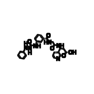 O=C(O)CC(NC(=O)CNC(=O)c1cccc(NC(=O)NNc2ccccc2)c1)c1cccnc1